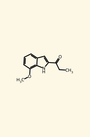 CCC(=O)c1cc2cccc(OC)c2[nH]1